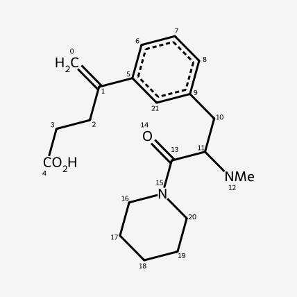 C=C(CCC(=O)O)c1cccc(CC(NC)C(=O)N2CCCCC2)c1